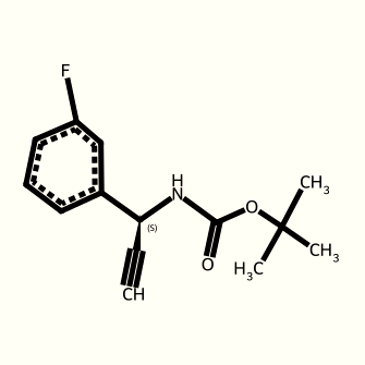 C#C[C@H](NC(=O)OC(C)(C)C)c1cccc(F)c1